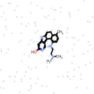 Cc1ccc(NCCN(C)C)c2c1CC=C1N=c3cc(O)ncc3=C12